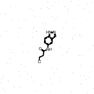 O=C(CCCl)Nc1ccc2[nH]ncc2c1